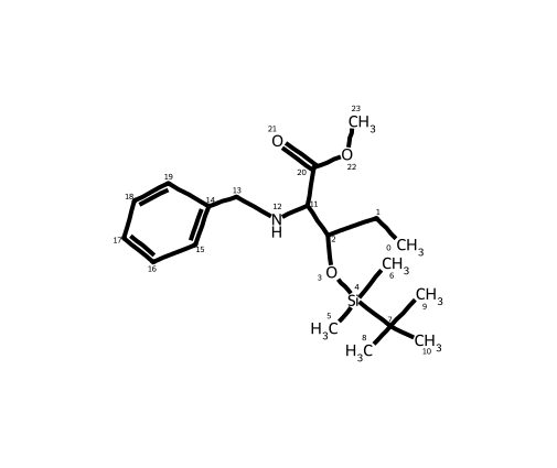 CCC(O[Si](C)(C)C(C)(C)C)C(NCc1ccccc1)C(=O)OC